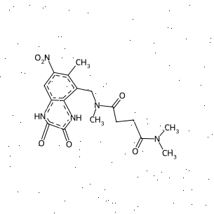 Cc1c([N+](=O)[O-])cc2[nH]c(=O)c(=O)[nH]c2c1CN(C)C(=O)CCC(=O)N(C)C